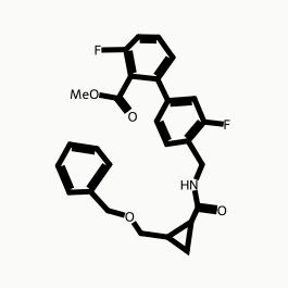 COC(=O)c1c(F)cccc1-c1ccc(CNC(=O)C2CC2COCc2ccccc2)c(F)c1